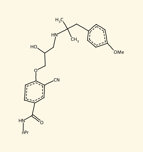 CCCNC(=O)c1ccc(OCC(O)CNC(C)(C)Cc2ccc(OC)cc2)c(C#N)c1